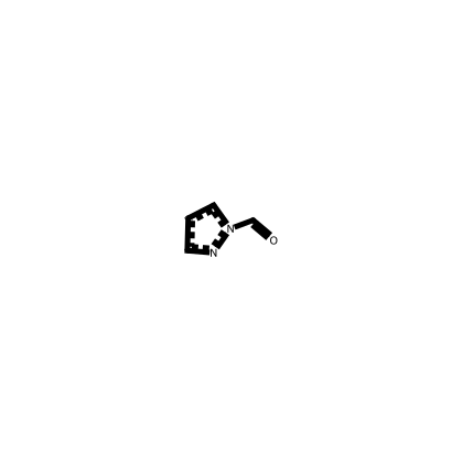 O=Cn1c[c]cn1